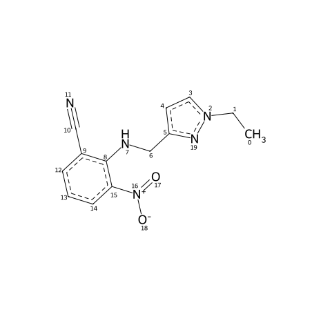 CCn1ccc(CNc2c(C#N)cccc2[N+](=O)[O-])n1